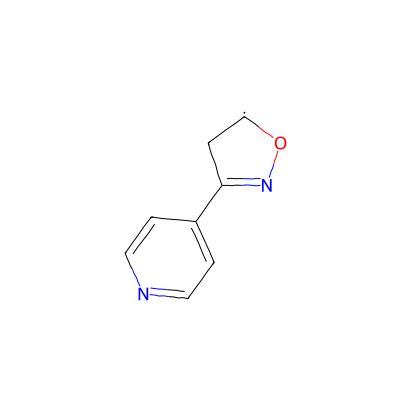 [CH]1CC(c2ccncc2)=NO1